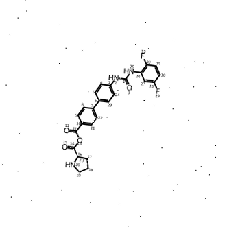 O=C(Nc1ccc(-c2ccc(C(=O)OC(=O)[C@H]3CCCN3)cc2)cc1)Nc1cc(F)ccc1F